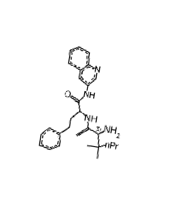 C=C(NC(CCc1ccccc1)C(=O)Nc1cnc2ccccc2c1)[C@@H](N)C(C)(C)CCC